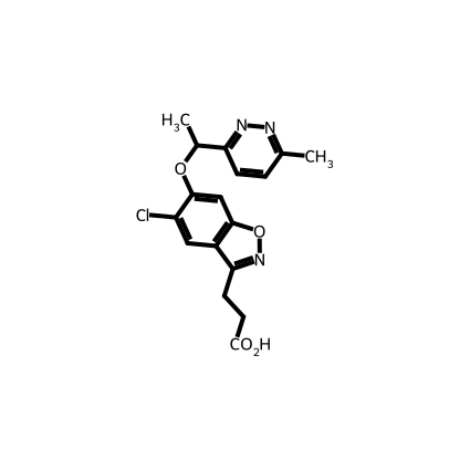 Cc1ccc(C(C)Oc2cc3onc(CCC(=O)O)c3cc2Cl)nn1